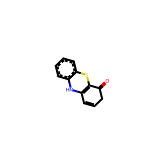 O=C1CC=CC2=C1Sc1ccc[c]c1N2